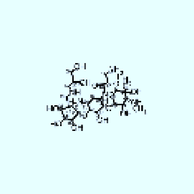 CN[C@@H]1[C@@H](O)[C@@H](O[C@H]2[C@H](NC(=O)[C@@H](O)CN)C[C@H](N)C(O[C@H]3O[C@H](CNCC(O)CO)[C@@H](O)[C@H](O)[C@H]3O)[C@@H]2O)OC[C@]1(C)O